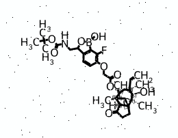 C=C[C@]1(C)C[C@@H](OC(=O)COc2ccc3c(c2F)B(O)OC3CNC(=O)OC(C)(C)C)[C@]2(C)[C@H](C)CC[C@]3(CCC(=O)[C@H]32)[C@@H](C)[C@@H]1O